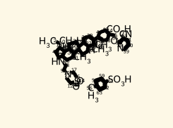 C=C(C)[C@@H]1CC[C@]2(NCCN3CCS(=O)(=O)CC3)CC[C@]3(C)[C@H](CC[C@@H]4[C@@]5(C)CC=C(C6=CC[C@@](COc7ncccc7C#N)(C(=O)O)CC6)C(C)(C)[C@@H]5CC[C@]43C)[C@@H]12.Cc1ccc(S(=O)(=O)O)cc1